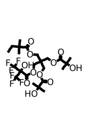 CCC(C)(C)C(=O)OCC(COC(=O)C(C)(C)O)(COC(=O)C(C)(C)O)COC(=O)C(O)(C(F)(F)F)C(F)(F)F